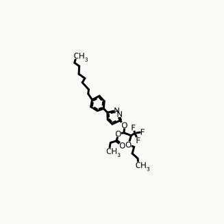 CCCCCCCCc1ccc(-c2ccc(OC(OC(=O)CC)C(OCCCC)C(F)(F)F)nn2)cc1